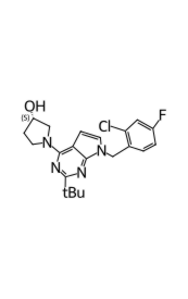 CC(C)(C)c1nc(N2CC[C@H](O)C2)c2ccn(Cc3ccc(F)cc3Cl)c2n1